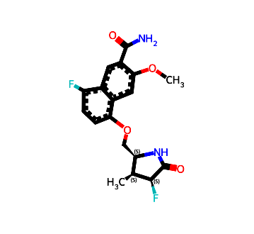 COc1cc2c(OC[C@H]3NC(=O)[C@@H](F)[C@H]3C)ccc(F)c2cc1C(N)=O